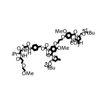 C=C1C[C@H](CO[Si](C)(C)C(C)(C)C)N(C(=O)c2cc(OC)c(OCCCOc3cc(NC(=O)OCc4ccc(NC(=O)[C@H](C)NC(=O)[C@@H](NC(=O)CCOCCOC)C(C)C)cc4)c(C(=O)N4CC(=C)C[C@@H]4CO[Si](C)(C)C(C)(C)C)cc3OC)cc2NC(=O)O)C1